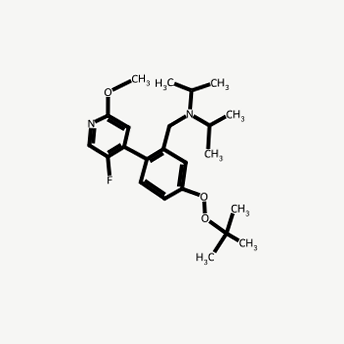 COc1cc(-c2ccc(OOC(C)(C)C)cc2CN(C(C)C)C(C)C)c(F)cn1